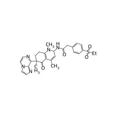 CCS(=O)(=O)c1ccc(CC(=O)NC2C=C(C)C3=C(CCC(C)(c4nccn5ccnc45)C3=O)N2C)cc1